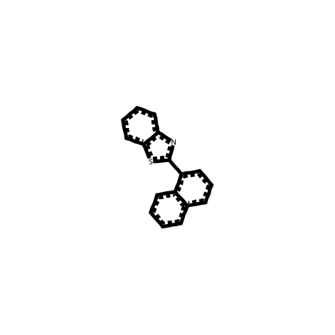 c1ccc2c(-c3nc4ccccc4s3)cccc2c1